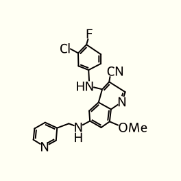 COc1cc(NCc2cccnc2)cc2c(Nc3ccc(F)c(Cl)c3)c(C#N)cnc12